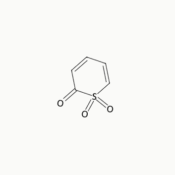 O=C1C=CC=CS1(=O)=O